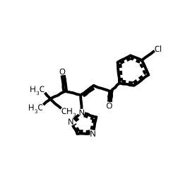 CC(C)(C)C(=O)C(=CC(=O)c1ccc(Cl)cc1)n1cncn1